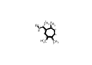 CCN[C@H](C)C1CC(C)C(C)CCC1C